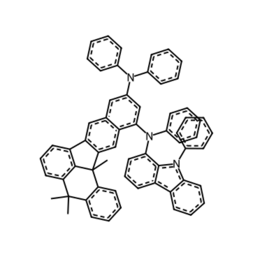 CC1(C)c2ccccc2C2(C)c3cc4c(N(c5ccccc5)c5cccc6c7ccccc7n(-c7ccccc7)c56)cc(N(c5ccccc5)c5ccccc5)cc4cc3-c3cccc1c32